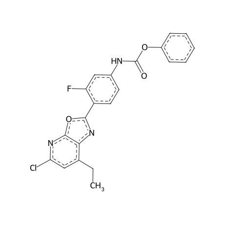 CCc1cc(Cl)nc2oc(-c3ccc(NC(=O)Oc4ccccc4)cc3F)nc12